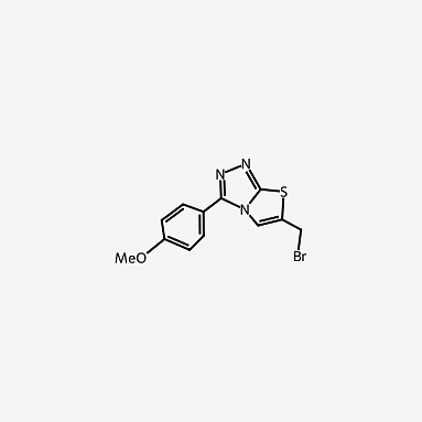 COc1ccc(-c2nnc3sc(CBr)cn23)cc1